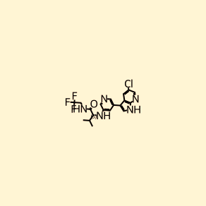 CC(C)[C@H](Nc1cncc(-c2c[nH]c3ncc(Cl)cc23)c1)C(=O)NCC(F)(F)F